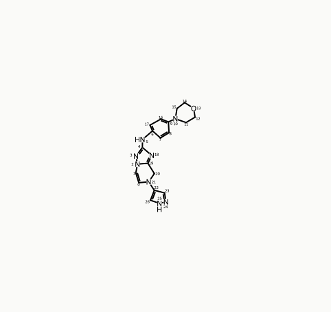 C1=Cn2nc(Nc3ccc(N4CCOCC4)cc3)nc2CN1c1cn[nH]c1